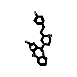 CCc1nc2c(s1)Nc1ccccc1N=C2N1CCNC(CCc2ccc(F)cc2)C1